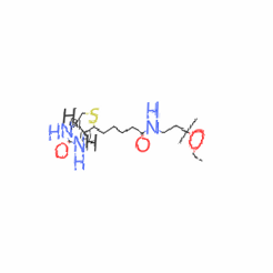 CCOC(C)(C)CCNC(=O)CCCCC1SC[C@@H]2NC(=O)N[C@H]12